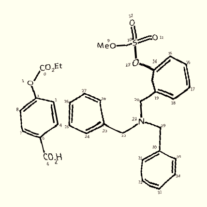 CCOC(=O)Oc1ccc(C(=O)O)cc1.COS(=O)(=O)Oc1ccccc1CN(Cc1ccccc1)Cc1ccccc1